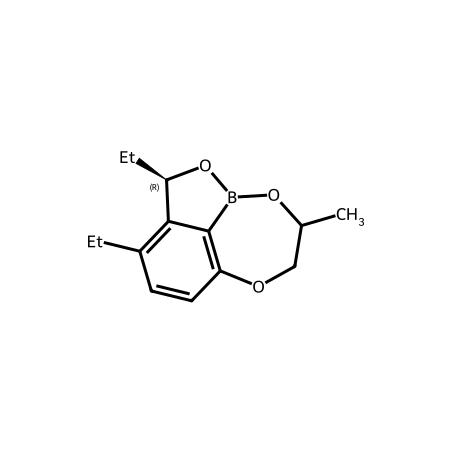 CCc1ccc2c3c1[C@@H](CC)OB3OC(C)CO2